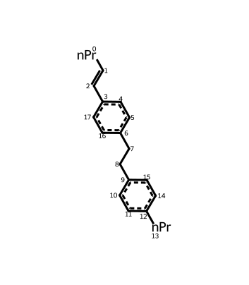 CCC/C=C/c1ccc(CCc2ccc(CCC)cc2)cc1